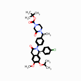 COc1cc2c(cc1OC(C)C)[C@H](c1ccc(Cl)cc1)N(c1ccc([C@H](C)N3CCN(C(=O)OC(C)(C)C)CC3=O)cc1)C(=O)C2